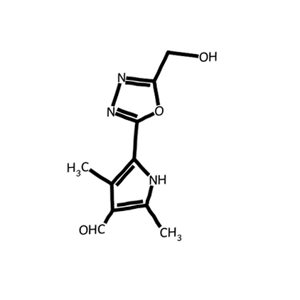 Cc1[nH]c(-c2nnc(CO)o2)c(C)c1C=O